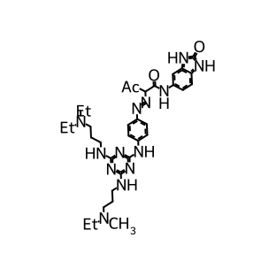 CCN(C)CCCNc1nc(NCCCN(CC)CC)nc(Nc2ccc(N=NC(C(C)=O)C(=O)Nc3ccc4[nH]c(=O)[nH]c4c3)cc2)n1